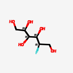 OC[C@@H](O)[C@H](O)[C@@H](O)[C@H](F)CO